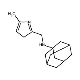 CC1=CCC(CNC23CC4CC(CC(C4)C2)C3)=N1